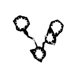 c1ccc(COc2ccccc2-c2nc3ccccc3o2)cc1